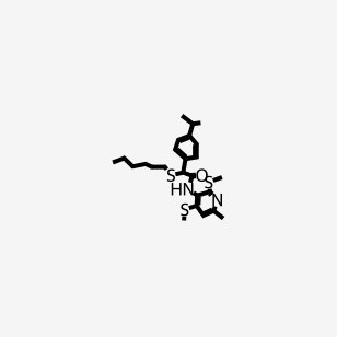 CCCCCCSC(C(=O)Nc1c(SC)cc(C)nc1SC)c1ccc(C(C)C)cc1